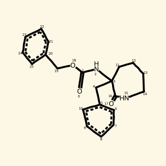 O=C(NC1(Cc2ccccc2)CCCCNC1=O)OCc1ccccc1